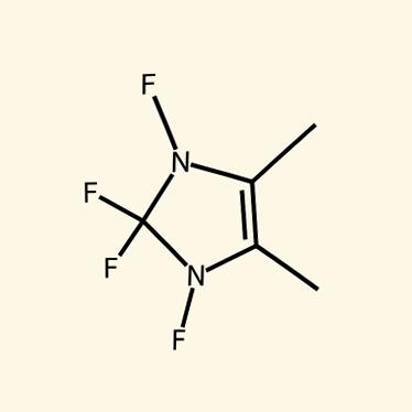 CC1=C(C)N(F)C(F)(F)N1F